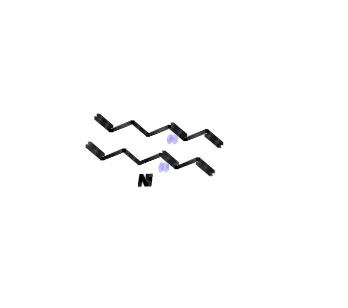 C=C/C=C/CCC=C.C=C/C=C/CCC=C.[Ni]